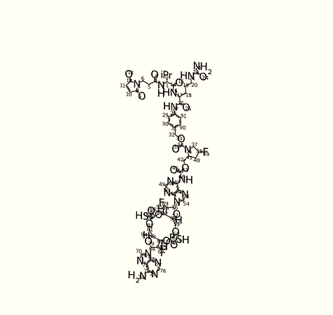 CC(C)[C@H](NC(=O)CCN1C(=O)C=CC1=O)C(=O)N[C@@H](CCCNC(N)=O)C(=O)Nc1ccc(COC(=O)N2C[C@@H](F)C[C@H]2COC(=O)Nc2ncnc3c2ncn3[C@@H]2O[C@@H]3CO[P@@](=O)(S)O[C@H]4[C@@H](F)[C@H](n5cnc6c(N)ncnc65)O[C@@H]4CO[P@@](=O)(S)O[C@H]3[C@H]2F)cc1